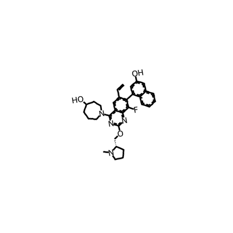 C=Cc1cc2c(N3CCCC(O)CC3)nc(OC[C@@H]3CCCN3C)nc2c(F)c1-c1cc(O)cc2ccccc12